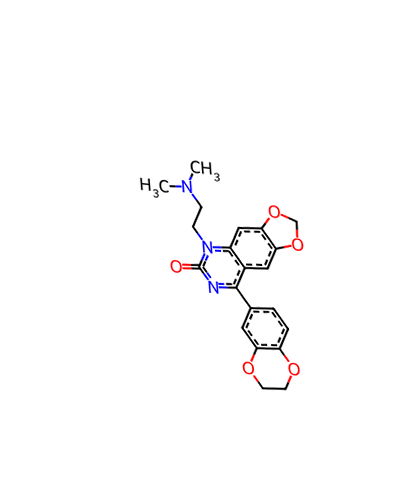 CN(C)CCn1c(=O)nc(-c2ccc3c(c2)OCCO3)c2cc3c(cc21)OCO3